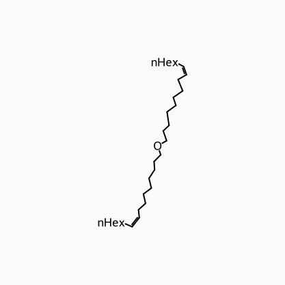 CCCCCC/C=C\CCCCCCCCOCCCCCCCC/C=C\CCCCCC